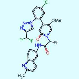 CCC(C(=O)Nc1ccc2nc(C)ccc2c1)n1cc(OC)c(-c2cc(Cl)ccc2-n2cc(C(F)F)nn2)cc1=O